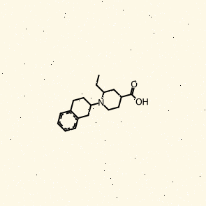 CCC1CC(C(=O)O)CCN1C1CCc2ccccc2C1